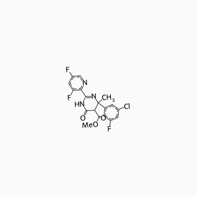 COC(=O)C1C(=O)NC(c2ncc(F)cc2F)=NC1(C)c1cc(F)cc(Cl)c1